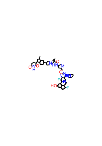 C#Cc1c(F)ccc2cc(O)cc(-c3ncc4c(N5CC6CCC(C5)N6)nc(OCC5C[C@@H](NC(=O)C6(CN7CCC(c8ccc9c(c8)C(C)C=C9C8CCC(=O)NC8=O)CC7)CC6)CN5C)nc4c3F)c12